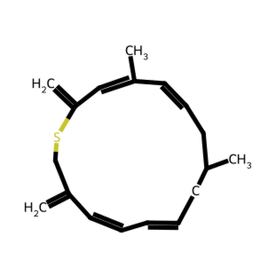 C=C1/C=C\C=C/CC(C)C/C=C\C(C)=C/C(=C)SC1